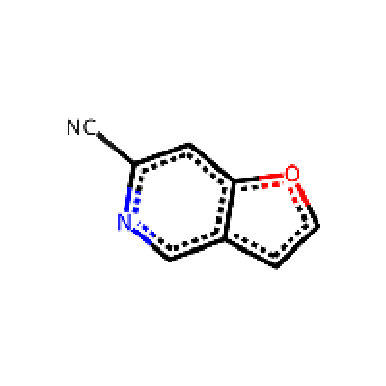 N#Cc1cc2occc2cn1